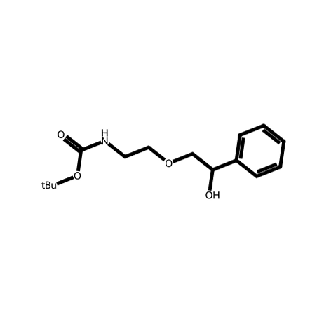 CC(C)(C)OC(=O)NCCOCC(O)c1ccccc1